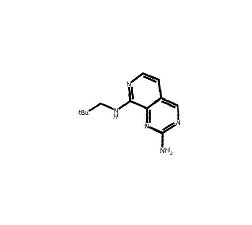 CC(C)(C)CNc1nccc2cnc(N)nc12